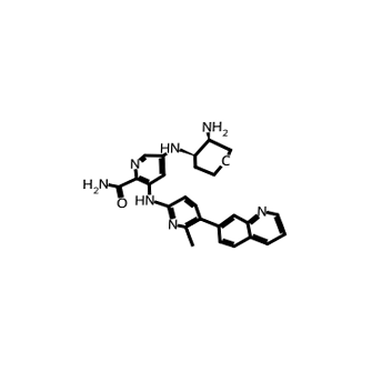 Cc1nc(Nc2cc(N[C@@H]3CCCC[C@@H]3N)cnc2C(N)=O)ccc1-c1ccc2cccnc2c1